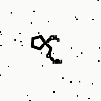 CCCCOC[N+]1(C)CCCC1